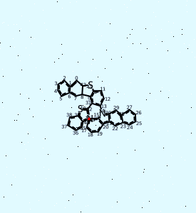 C1=c2ccccc2=CC2c3c(ccc(-n4c5ccccc5c5cc6ccccc6cc54)c3-c3nc4ccccc4s3)SC12